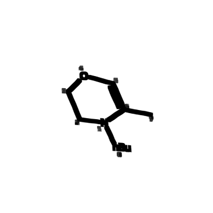 CCCCN1CCOC=C1C